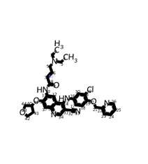 CCN(CC)C/C=C/C(=O)Nc1cc2c(Nc3ccc(OCc4ccccn4)c(Cl)c3)c(C#N)cnc2cc1OC1CCOC1